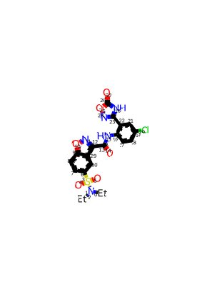 CCN(CC)S(=O)(=O)c1ccc2onc(C(=O)Nc3ccc(Cl)cc3-c3noc(=O)[nH]3)c2c1